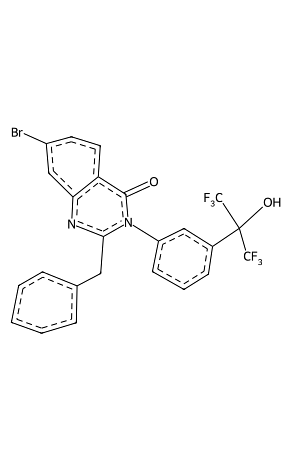 O=c1c2ccc(Br)cc2nc(Cc2ccccc2)n1-c1cccc(C(O)(C(F)(F)F)C(F)(F)F)c1